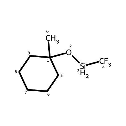 CC1(O[SiH2]C(F)(F)F)CCCCC1